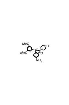 COc1cc(OC)cc(Oc2ccc([N+](=O)[O-])cc2S(=O)(=O)N2CCNCC2)c1